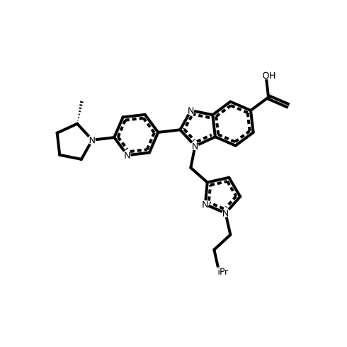 C=C(O)c1ccc2c(c1)nc(-c1ccc(N3CCC[C@@H]3C)nc1)n2Cc1ccn(CCC(C)C)n1